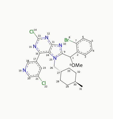 COC(c1ccccc1Br)c1nc2nc(Cl)nc(-c3cncc(Cl)c3)c2n1C[C@H]1CC[C@H](C)CC1